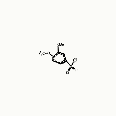 CSc1cc(S(=O)(=O)Cl)ccc1OC(F)(F)F